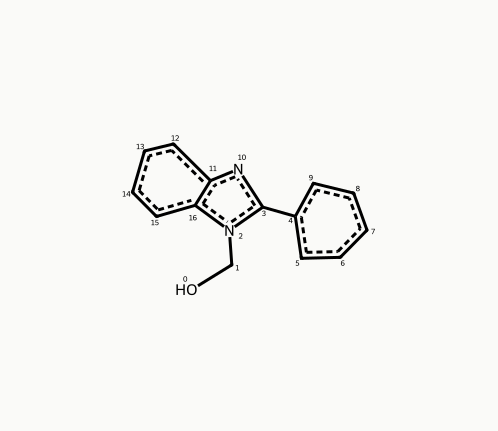 OCn1c(-c2ccccc2)nc2ccccc21